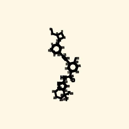 CCC1CCN1c1cncc(C#Cc2cc(C(=O)Nc3cc4n(n3)CCCC4(F)F)ccc2C)c1